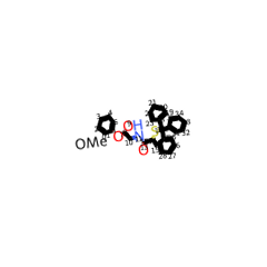 COc1ccccc1OC(=O)CNC(=O)C(C)SC(c1ccccc1)(c1ccccc1)c1ccccc1